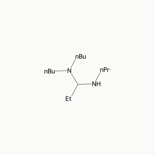 CC[CH]NC(CC)N(CCCC)CCCC